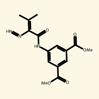 COC(=O)c1cc(NC(=O)C(N=N)=C(C)C)cc(C(=O)OC)c1